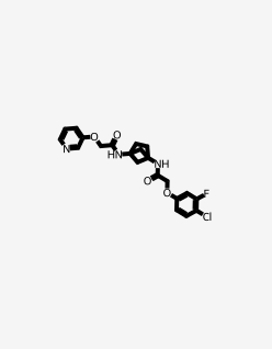 O=C(COc1cccnc1)NC12CCC(NC(=O)COc3ccc(Cl)c(F)c3)(C1)C2